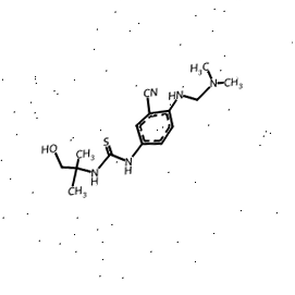 CN(C)CNc1ccc(NC(=S)NC(C)(C)CO)cc1C#N